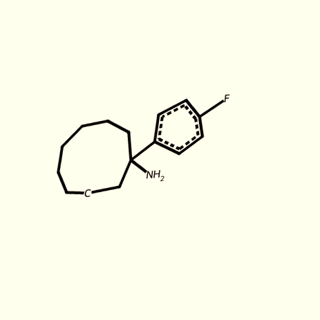 NC1(c2ccc(F)cc2)CCCCCCCC1